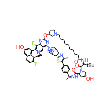 C#Cc1c(F)ccc2cc(O)cc(-c3ncc4c(N5CC6CCC(C5)N6)nc(OC5CCN(CCCCCCCCCC(=O)N[C@H](C(=O)N6C[C@H](O)C[C@H]6C(=O)N[C@@H](C)c6ccc(-c7scnc7C)cc6)C(C)(C)C)C5)nc4c3F)c12